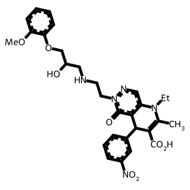 CCN1C(C)=C(C(=O)O)C(c2cccc([N+](=O)[O-])c2)c2c1cnn(CCNCC(O)COc1ccccc1OC)c2=O